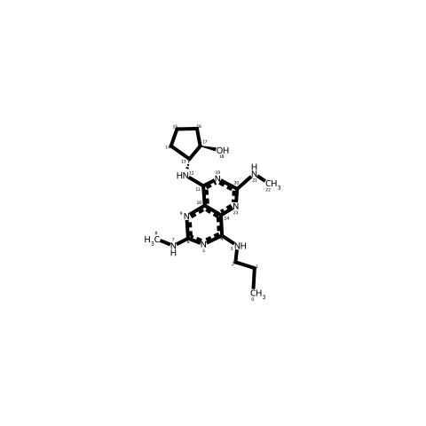 CCCNc1nc(NC)nc2c(N[C@@H]3CCC[C@H]3O)nc(NC)nc12